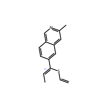 C=CS/C(=C\C)c1ccc2cnc(C)cc2c1